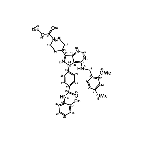 COc1ccc(CNc2ncnc3c(C4CCN(C(=O)OC(C)(C)C)CC4)nn(-c4ccc(C(=O)Nc5ccccc5F)cc4)c23)c(OC)c1